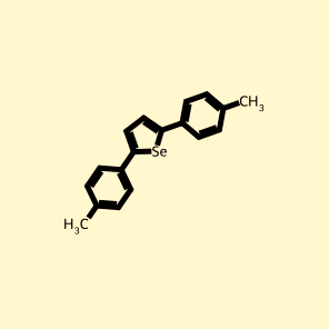 Cc1ccc(-c2ccc(-c3ccc(C)cc3)[se]2)cc1